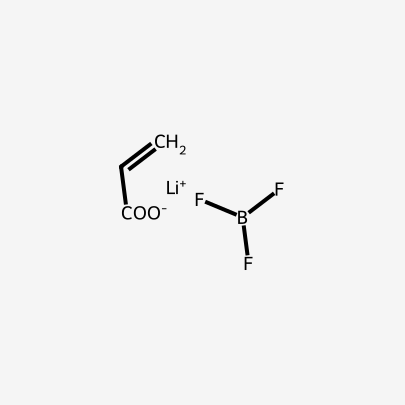 C=CC(=O)[O-].FB(F)F.[Li+]